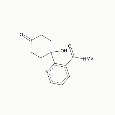 CNC(=O)c1cccnc1C1(O)CCC(=O)CC1